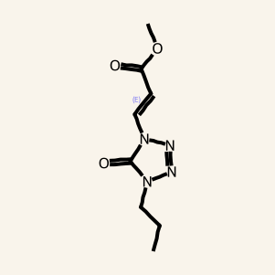 CCCn1nnn(/C=C/C(=O)OC)c1=O